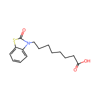 O=C(O)CCCCCCCn1c(=O)sc2ccccc21